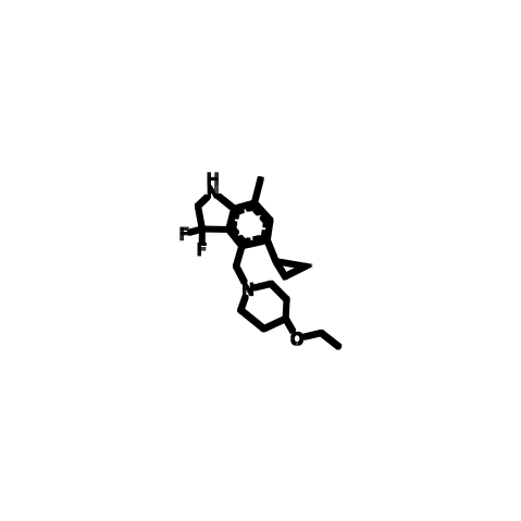 CCOC1CCN(Cc2c(C3CC3)cc(C)c3c2C(F)(F)CN3)CC1